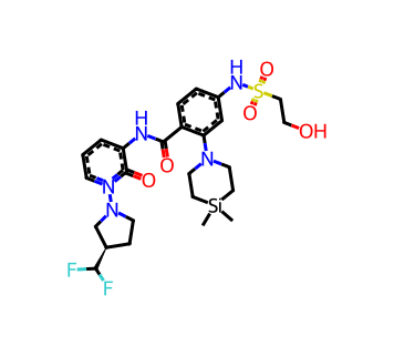 C[Si]1(C)CCN(c2cc(NS(=O)(=O)CCO)ccc2C(=O)Nc2cccn(N3CC[C@@H](C(F)F)C3)c2=O)CC1